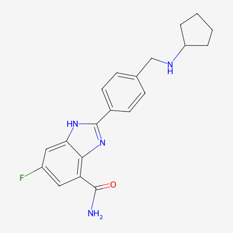 NC(=O)c1cc(F)cc2[nH]c(-c3ccc(CNC4CCCC4)cc3)nc12